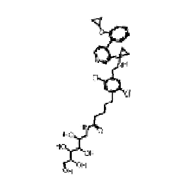 O=C(CCCCc1cc(Cl)c(CNC2(c3cnccc3-c3ccccc3OC3CC3)CC2)cc1Cl)NCC(O)C(O)C(O)C(O)CO